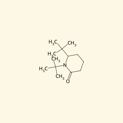 CC(C)(C)C1CCCC(=O)N1C(C)(C)C